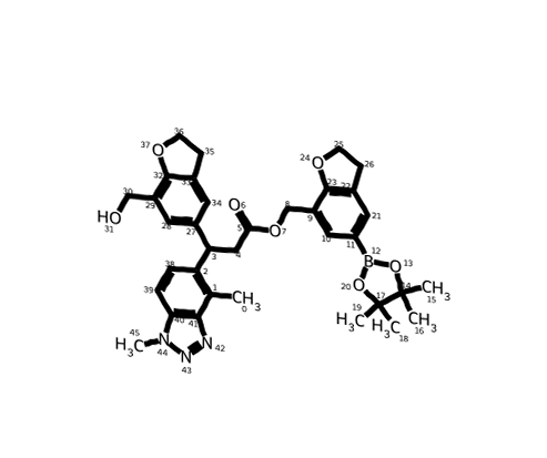 Cc1c(C(CC(=O)OCc2cc(B3OC(C)(C)C(C)(C)O3)cc3c2OCC3)c2cc(CO)c3c(c2)CCO3)ccc2c1nnn2C